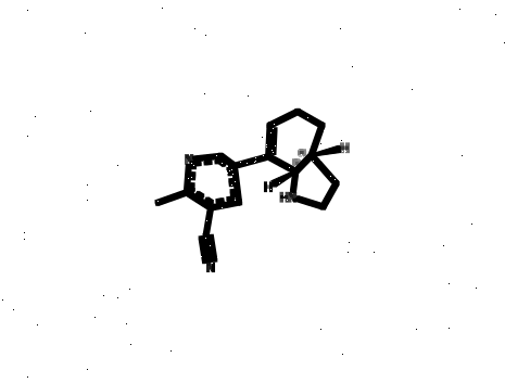 Cc1ncc(C2=CCC[C@@H]3CCN[C@H]23)cc1C#N